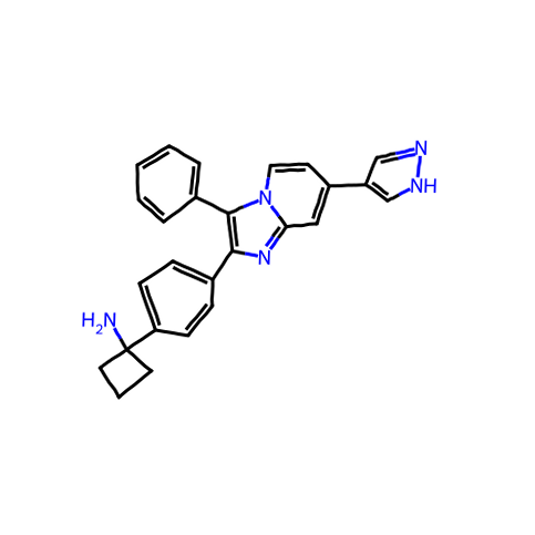 NC1(c2ccc(-c3nc4cc(-c5cn[nH]c5)ccn4c3-c3ccccc3)cc2)CCC1